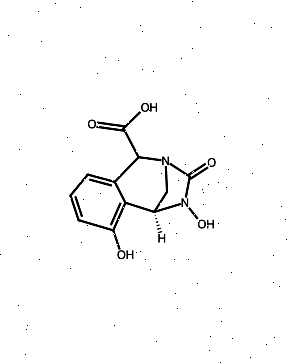 O=C(O)C1c2cccc(O)c2[C@H]2CN1C(=O)N2O